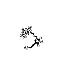 NCC#Cc1cn(COCCOP(=O)(O)OP(=O)(O)OP(=O)(O)O)c(=O)[nH]c1=O